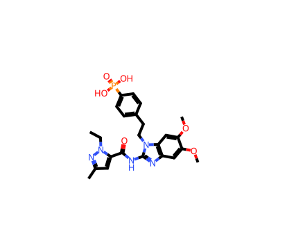 CCn1nc(C)cc1C(=O)Nc1nc2cc(OC)c(OC)cc2n1CCc1ccc(P(=O)(O)O)cc1